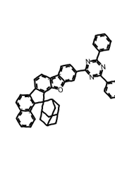 c1ccc(-c2nc(-c3ccccc3)nc(-c3ccc4c(c3)oc3c5c(ccc34)-c3ccc4ccccc4c3C53C4CC5CC(C4)CC3C5)n2)cc1